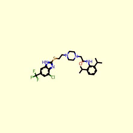 CC(C)c1cccc(C(C)C)c1NC(=O)CN1CCN(CCSc2nc3c(Cl)cc(C(F)(F)F)cc3[nH]2)CC1